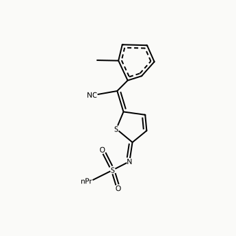 CCCS(=O)(=O)/N=C1C=C/C(=C(/C#N)c2ccccc2C)S/1